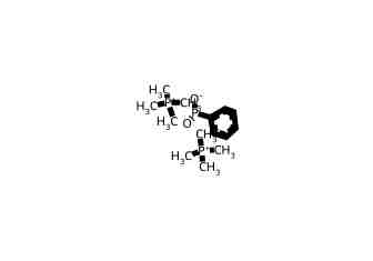 C[P+](C)(C)C.C[P+](C)(C)C.[O-]P([O-])c1ccccc1